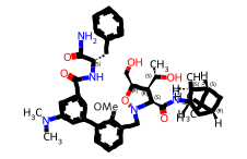 COc1c(CN2O[C@@H](CO)[C@@H]([C@H](C)O)[C@H]2C(=O)N[C@H]2C[C@H]3C[C@@H]([C@@H]2C)C3(C)C)cccc1-c1cc(C(=O)N[C@@H](Cc2ccccc2)C(N)=O)cc(N(C)C)c1